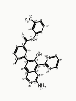 Cc1ccc(C(=O)Nc2cccc(C(F)(F)F)c2)cc1-c1cc2cnc(N)nc2c(-c2ncccn2)c1O